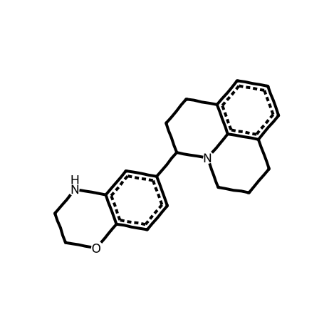 c1cc2c3c(c1)CCC(c1ccc4c(c1)NCCO4)N3CCC2